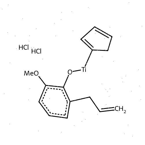 C=CCc1cccc(OC)c1[O][Ti][C]1=CC=CC1.Cl.Cl